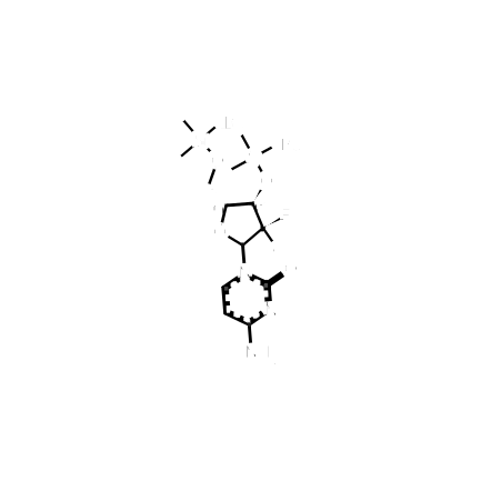 CC(C)(C)[Si](C)(C)OC[C@H]1OC(n2ccc(N)nc2=O)[C@@](F)(Cl)[C@@H]1O[Si](C)(C)C(C)(C)C